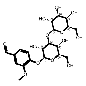 COc1cc(C=O)ccc1O[C@@H]1O[C@H](CO)[C@@H](O)[C@H](O[C@@H]2O[C@H](CO)[C@@H](O)[C@H](O)[C@H]2O)[C@H]1O